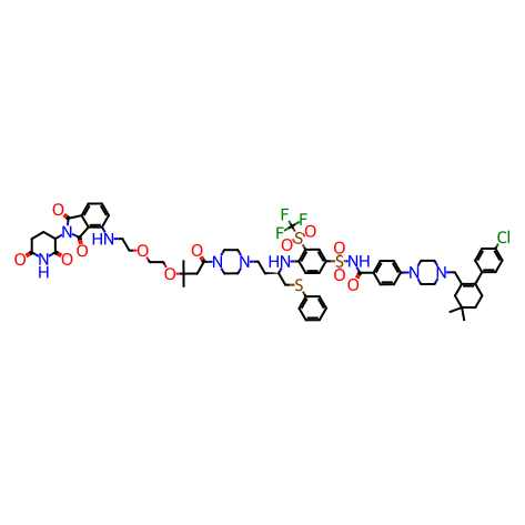 CC1(C)CCC(c2ccc(Cl)cc2)=C(CN2CCN(c3ccc(C(=O)NS(=O)(=O)c4ccc(N[C@H](CCN5CCN(C(=O)CC(C)(C)OCCOCCNc6cccc7c6C(=O)N(C6CCC(=O)NC6=O)C7=O)CC5)CSc5ccccc5)c(S(=O)(=O)C(F)(F)F)c4)cc3)CC2)C1